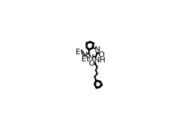 CCN(CC)C1=NC(NC(=O)CCCCc2ccccc2)C(=O)N(C)c2ccccc21